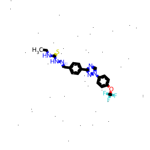 CCNC(=S)N/N=C/c1ccc(-c2ncn(-c3ccc(OC(F)(F)F)cc3)n2)cc1